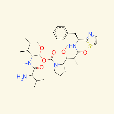 CC[C@H](C)C([C@H](OC)OC(=O)N1CCC[C@H]1[C@H](OC)[C@@H](C)C(=O)N[C@@H](Cc1ccccc1)c1nccs1)N(C)C(=O)C(N)C(C)C